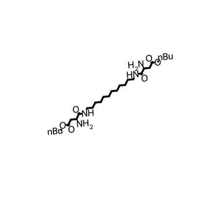 CCCCOC(=O)C[C@H](N)C(=O)NCCCCCCCCCCCCNC(=O)[C@@H](N)CC(=O)OCCCC